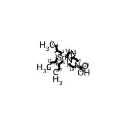 CCC[CH2][Sn]([CH2]CCC)([CH2]CCC)[c]1cnc2n1CCN(C(=O)O)C2